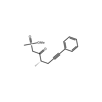 COP(C)(=O)CC(=O)[C@@H](C)CC#Cc1ccccc1